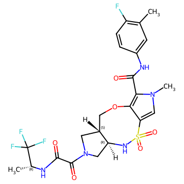 Cc1cc(NC(=O)c2c3c(cn2C)S(=O)(=O)N[C@H]2CN(C(=O)C(=O)N[C@H](C)C(F)(F)F)C[C@@H]2CO3)ccc1F